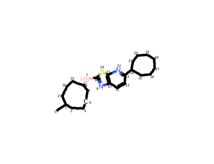 CC1CCCCC(Bc2nc3ccc(C4CCCCCCC4)nc3s2)CCC1